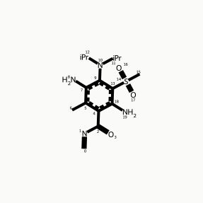 C=NC(=O)c1c(C)c(N)c(N(C(C)C)C(C)C)c(S(C)(=O)=O)c1N